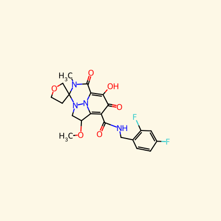 COC1CN2n3c(c(O)c(=O)c(C(=O)NCc4ccc(F)cc4F)c31)C(=O)N(C)C21CCOC1